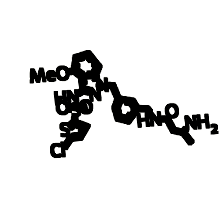 COc1cccc2c1c(NS(=O)(=O)c1ccc(Cl)s1)nn2Cc1cccc(CNC(=O)CC(C)N)c1